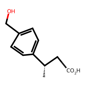 C[C@@H](CC(=O)O)c1ccc(CO)cc1